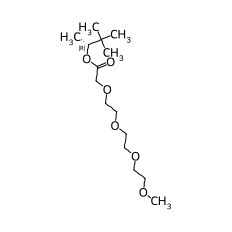 COCCOCCOCCOCC(=O)O[C@H](C)C(C)(C)C